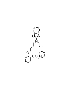 O=C(O)c1ccccc1OCCCCN(CCOc1ccccc1)c1nc2ccccc2o1